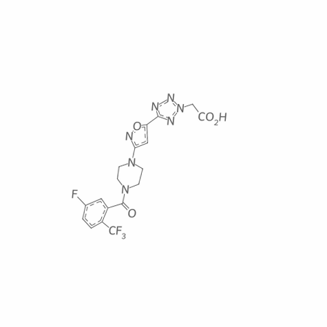 O=C(O)Cn1nnc(-c2cc(N3CCN(C(=O)c4cc(F)ccc4C(F)(F)F)CC3)no2)n1